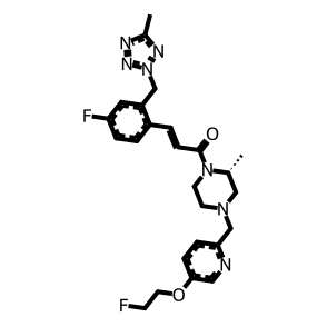 Cc1nnn(Cc2cc(F)ccc2/C=C/C(=O)N2CCN(Cc3ccc(OCCF)cn3)C[C@H]2C)n1